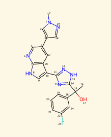 Cn1cc(-c2cnc3[nH]cc(-c4n[nH]c(C(C)(O)c5cccc(F)c5)n4)c3c2)cn1